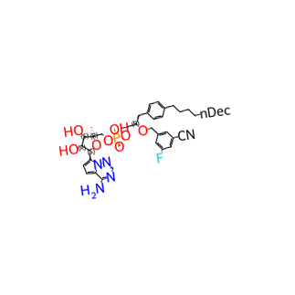 CCCCCCCCCCCCCCc1ccc(C[C@H](COP(=O)(O)OC[C@@]2(C)O[C@@H](c3ccc4c(N)ncnn34)[C@H](O)[C@@H]2O)OCc2cc(F)cc(C#N)c2)cc1